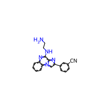 N#Cc1cccc(-c2cn3c(n2)c(NCCN)nc2ccccc23)c1